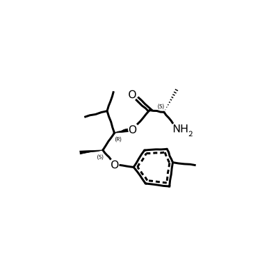 Cc1ccc(O[C@@H](C)[C@H](OC(=O)[C@H](C)N)C(C)C)cc1